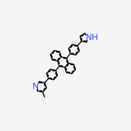 Cc1cncc(-c2ccc(-c3c4ccccc4c(-c4ccc(-c5cc[nH]c5)cc4)c4ccccc34)cc2)c1